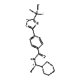 C[C@@H](NC(=O)c1ccc(-c2noc(C(F)(F)F)n2)cc1)C1CCCCC1